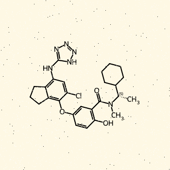 C[C@@H](C1CCCCC1)N(C)C(=O)c1cc(Oc2c(Cl)cc(Nc3nnn[nH]3)c3c2CCC3)ccc1O